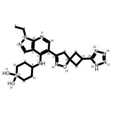 CCn1ncc2c(NC3CCS(O)(O)CC3)c(C3=NOC4(C3)CC(c3nnn[nH]3)C4)cnc21